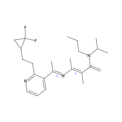 C=C(/C(C)=C(C)/N=C(\C)c1cccnc1CCC1CC1(F)F)N(CCC)C(C)C